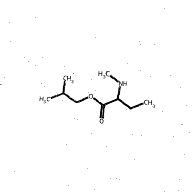 CCC(NC)C(=O)OCC(C)C